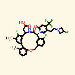 Cc1cc2cc(c1F)C(CC(=O)O)NC(=O)[C@@H](n1cc(CCN3CC(F)C3)c(C(F)(F)F)cc1=O)c1cc(ccc1F)COc1cccc(C)c1-2